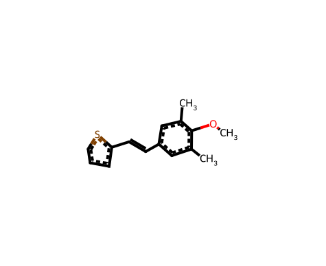 COc1c(C)cc(/C=C/c2cccs2)cc1C